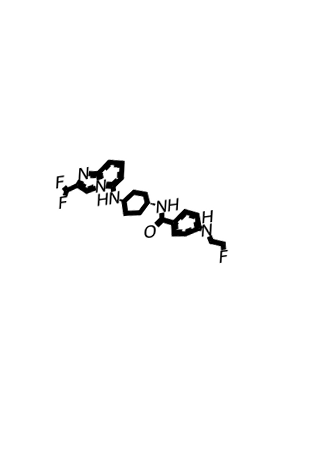 O=C(N[C@H]1CC[C@@H](Nc2cccc3nc(C(F)F)cn23)CC1)c1ccc(NCCF)cc1